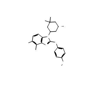 Cc1c(C(=O)O)ccc2c1nc(Nc1ccc(OC(F)(F)F)cc1)n2C1C[C@H](C)CC(C)(C)C1